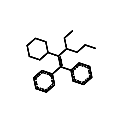 CCCC(CC)C(=C(c1ccccc1)c1ccccc1)C1CCCCC1